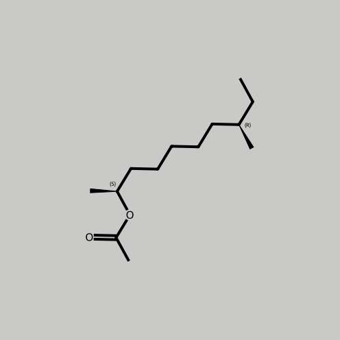 CC[C@@H](C)CCCCC[C@H](C)OC(C)=O